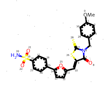 COc1ccc(CN2C(=O)C(=Cc3ccc(-c4ccc(S(N)(=O)=O)cc4)o3)SC2=S)cc1